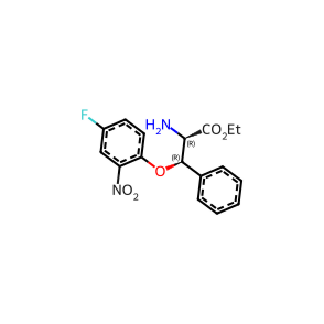 CCOC(=O)[C@H](N)[C@H](Oc1ccc(F)cc1[N+](=O)[O-])c1ccccc1